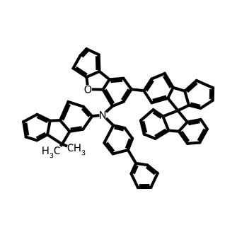 CC1(C)c2ccccc2-c2ccc(N(c3ccc(-c4ccccc4)cc3)c3cc(-c4ccc5c(c4)C4(c6ccccc6-c6ccccc64)c4ccccc4-5)cc4c3oc3ccccc34)cc21